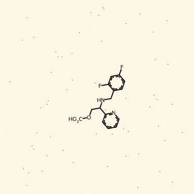 O=C(O)OCC(NCc1ccc(F)cc1F)c1ccccn1